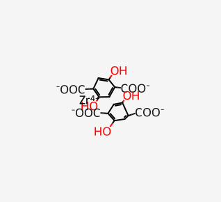 O=C([O-])c1cc(O)c(C(=O)[O-])cc1O.O=C([O-])c1cc(O)c(C(=O)[O-])cc1O.[Zr+4]